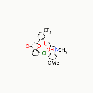 COc1ccc(N(C)CC(O)COc2cc(C(F)(F)F)ccc2-c2cc(=O)c3cccc(Cl)c3o2)cc1